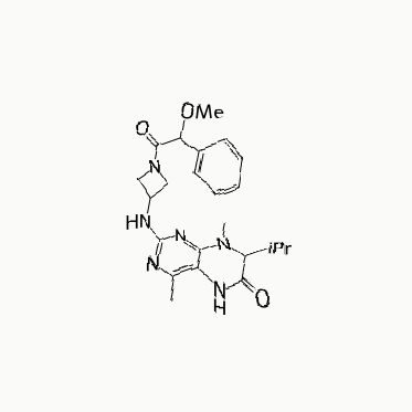 COC(C(=O)N1CC(Nc2nc(C)c3c(n2)N(C)C(C(C)C)C(=O)N3)C1)c1ccccc1